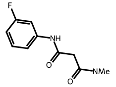 CNC(=O)CC(=O)Nc1cccc(F)c1